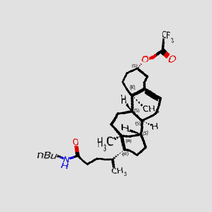 CCCCNC(=O)CCC(C)[C@H]1CC[C@H]2[C@@H]3CC=C4C[C@@H](OC(=O)C(F)(F)F)CC[C@]4(C)[C@H]3CC[C@]12C